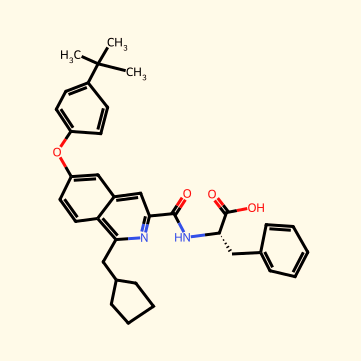 CC(C)(C)c1ccc(Oc2ccc3c(CC4CCCC4)nc(C(=O)N[C@@H](Cc4ccccc4)C(=O)O)cc3c2)cc1